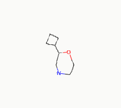 C1CC(C2C[N]CCO2)C1